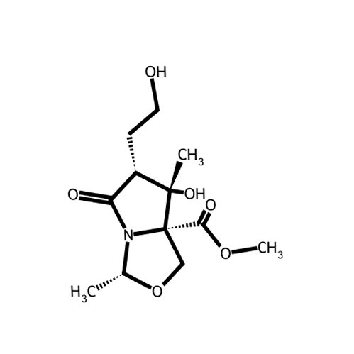 COC(=O)[C@]12CO[C@H](C)N1C(=O)[C@H](CCO)[C@]2(C)O